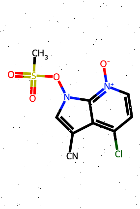 CS(=O)(=O)On1cc(C#N)c2c(Cl)cc[n+]([O-])c21